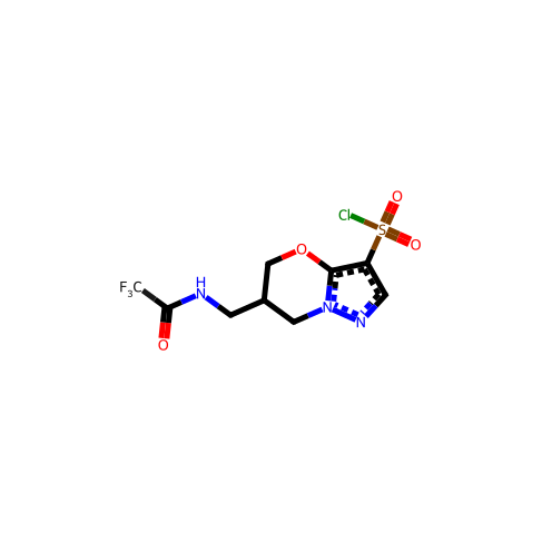 O=C(NCC1COc2c(S(=O)(=O)Cl)cnn2C1)C(F)(F)F